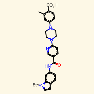 CCn1ccc2ccc(NC(=O)c3ccc(N4CCN(c5ccc(C(=O)O)c(C)c5)CC4)nc3)cc21